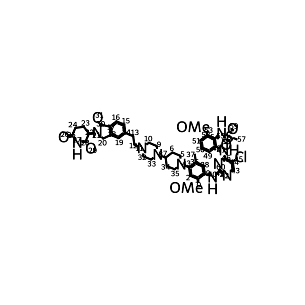 COc1cc(N2CCC(N3CCN(CCc4ccc5c(c4)CN(C4CCC(=O)NC4=O)C5=O)CC3)CC2)c(C)cc1Nc1ncc(Cl)c(Nc2cccc(OC)c2NS(C)(=O)=O)n1